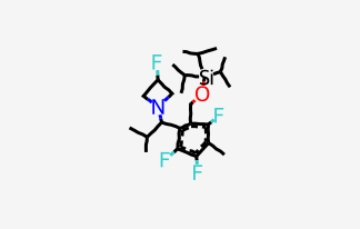 Cc1c(F)c(F)c(C(C(C)C)N2CC(F)C2)c(CO[Si](C(C)C)(C(C)C)C(C)C)c1F